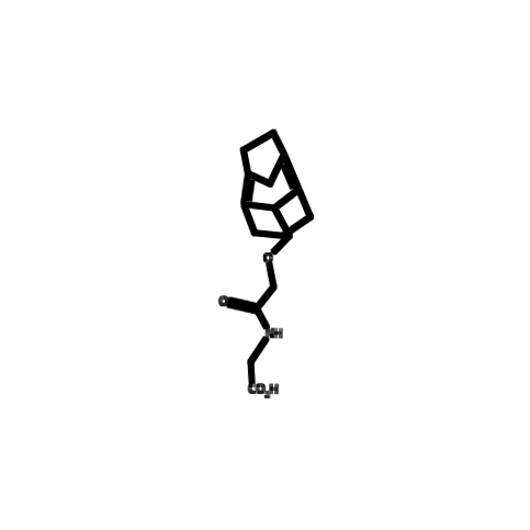 O=C(O)CNC(=O)COCC1C2=C3CCC(=C1CCC2)C3